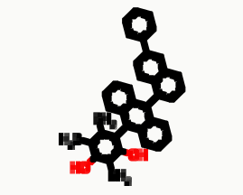 Bc1c(B)c(-c2c3ccccc3c(-c3cccc4cc(-c5ccccc5)ccc34)c3ccccc23)c(O)c(B)c1O